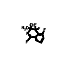 CC1(C)N=C(F)c2cccc(F)c2C1(F)F